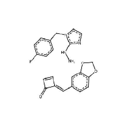 NNc1nccn1Cc1ccc(F)cc1.O=C1C=CC1=Cc1ccc2c(c1)OCO2